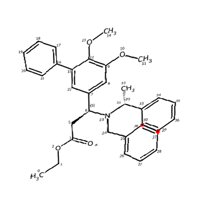 CCOC(=O)C[C@@H](c1cc(OC)c(OC)c(-c2ccccc2)c1)N(Cc1ccccc1)[C@H](C)c1ccccc1